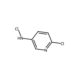 ClNc1ccc(Cl)nc1